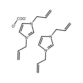 C=CCn1cc[n+](CC=C)c1.C=CCn1cc[n+](CC=C)c1.O=C([O-])[O-]